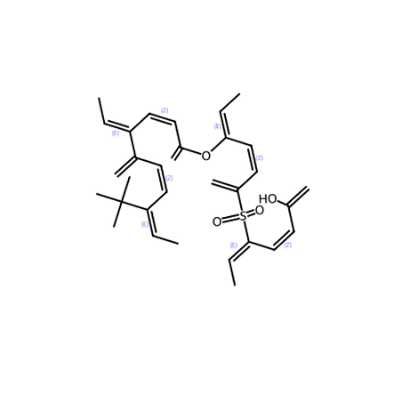 C=C(O)/C=C\C(=C/C)S(=O)(=O)C(=C)/C=C\C(=C/C)OC(=C)/C=C\C(=C/C)C(=C)/C=C\C(=C/C)C(C)(C)C